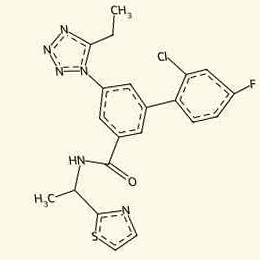 CCc1nnnn1-c1cc(C(=O)NC(C)c2nccs2)cc(-c2ccc(F)cc2Cl)c1